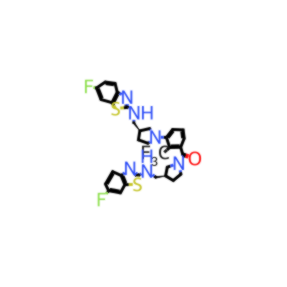 O=C(c1cccc(N2CC[C@@H](CNc3nc4ccc(F)cc4s3)C2)c1C(F)(F)F)N1CC[C@@H](CNc2nc3ccc(F)cc3s2)C1